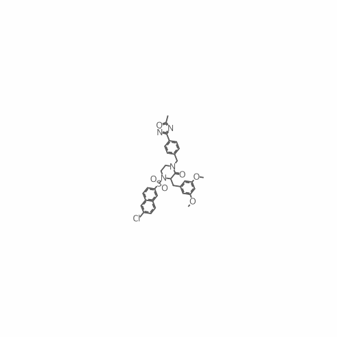 COc1cc(CC2C(=O)N(Cc3ccc(-c4noc(C)n4)cc3)CCN2S(=O)(=O)c2ccc3cc(Cl)ccc3c2)cc(OC)c1